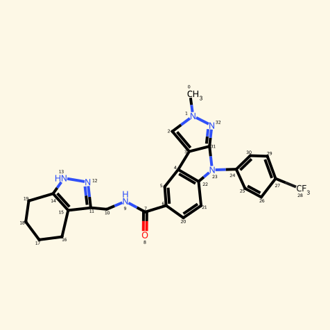 Cn1cc2c3cc(C(=O)NCc4n[nH]c5c4CCCC5)ccc3n(-c3ccc(C(F)(F)F)cc3)c2n1